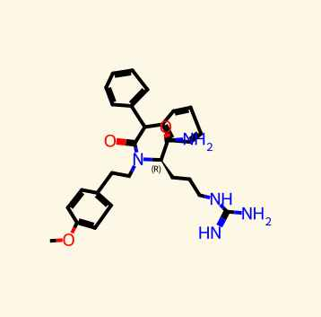 COc1ccc(CCN(C(=O)C(c2ccccc2)c2ccccc2)[C@H](CCCNC(=N)N)C(N)=O)cc1